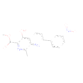 COC(=O)c1nc(C)c2nc(-c3cccc([N+](=O)[O-])c3)ccc2c1O